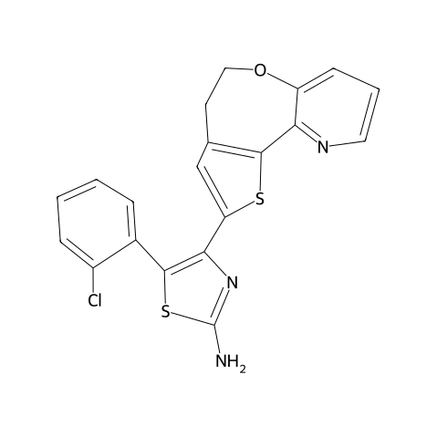 Nc1nc(-c2cc3c(s2)-c2ncccc2OCC3)c(-c2ccccc2Cl)s1